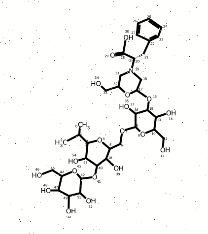 CC(C)C1OC(COC2OC(CO)C(O)C(OC3CN([C@@H](Cc4ccccc4)C(=O)O)CC(CO)O3)C2O)C(O)C(OC2OC(CO)C(O)C(O)C2O)C1O